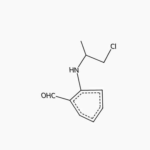 CC(CCl)Nc1ccccc1C=O